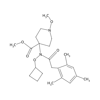 COC(=O)C1(N(OC2CCC2)C(=O)Cc2c(C)cc(C)cc2C)CCN(OC)CC1